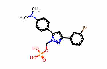 CN(C)c1ccc(-c2cc(-c3cccc(Br)c3)nn2COP(=O)(O)O)cc1